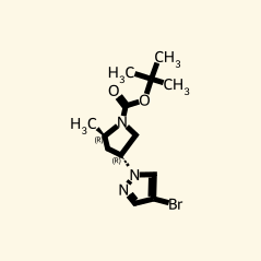 C[C@@H]1C[C@@H](n2cc(Br)cn2)CN1C(=O)OC(C)(C)C